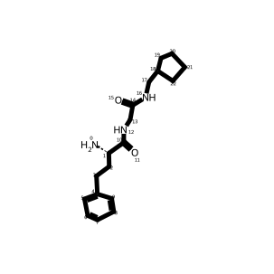 N[C@@H](CCc1ccccc1)C(=O)NCC(=O)NCC1CCCC1